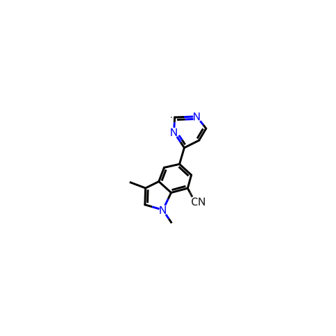 Cc1cn(C)c2c(C#N)cc(-c3ccn[c]n3)cc12